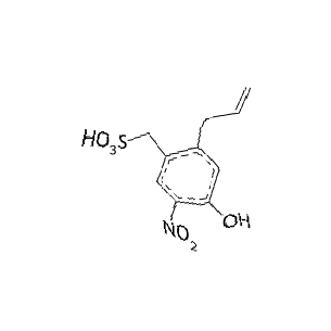 C=CCc1cc(O)c([N+](=O)[O-])cc1CS(=O)(=O)O